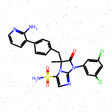 CC1(Cc2ccc(-c3cccnc3N)cc2)C(=O)N(c2cc(Cl)cc(Cl)c2)c2ncc(S(N)(=O)=O)n21